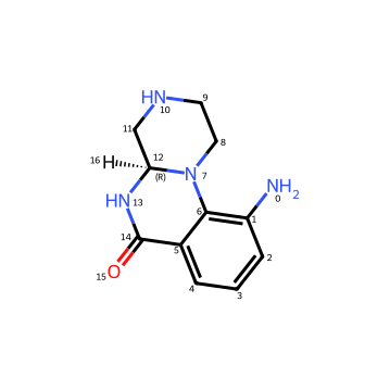 Nc1cccc2c1N1CCNC[C@@H]1NC2=O